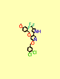 COc1ccc(COc2cc(OCc3ccc(Cl)c(Cl)c3)ncc2-c2cc(C(F)(F)F)c[nH]2)cc1